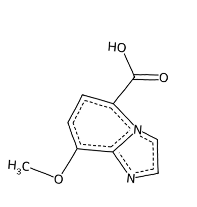 COc1ccc(C(=O)O)n2ccnc12